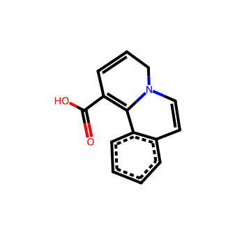 O=C(O)C1=C2c3ccccc3C=CN2CC=C1